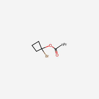 CCCC(=O)OC1(Br)CCC1